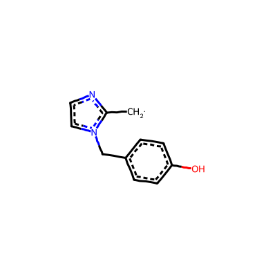 [CH2]c1nccn1Cc1ccc(O)cc1